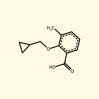 Cc1cccc(C(=O)O)c1OCC1CC1